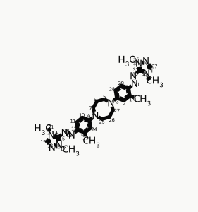 Cc1cc(N2CCCN(c3ccc(N=Nc4n(C)nc[n+]4C)c(C)c3)CCC2)ccc1N=Nc1n(C)nc[n+]1C